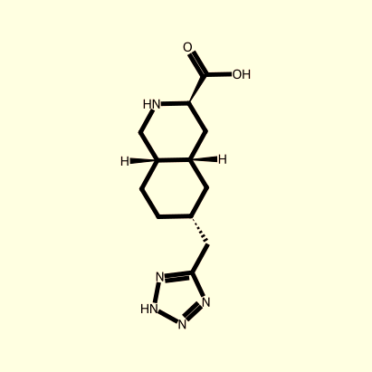 O=C(O)[C@H]1C[C@@H]2C[C@H](Cc3nn[nH]n3)CC[C@@H]2CN1